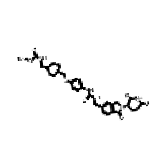 CC(C)(C)OC(=O)NCC1CCC(COc2ccc(NC(=O)NCc3ccc4c(c3)CN(C3CCC(=O)NC3=O)C4=O)cc2)CC1